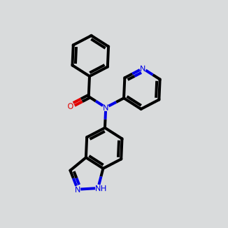 O=C(c1ccccc1)N(c1cccnc1)c1ccc2[nH]ncc2c1